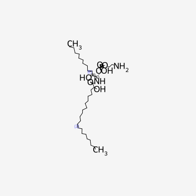 CCCCCCCC/C=C\CCCCCCCCCCC(O)C(=O)N[C@@H](COP(=O)(O)OCCN)[C@H](O)/C=C/CCCCCCCCC